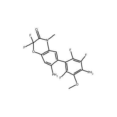 COc1c(F)c(-c2cc3c(cc2P)OC(F)(F)C(=O)N3C)c(F)c(F)c1P